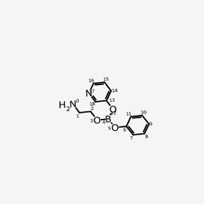 NCCOB(Oc1ccccc1)Oc1cccnc1